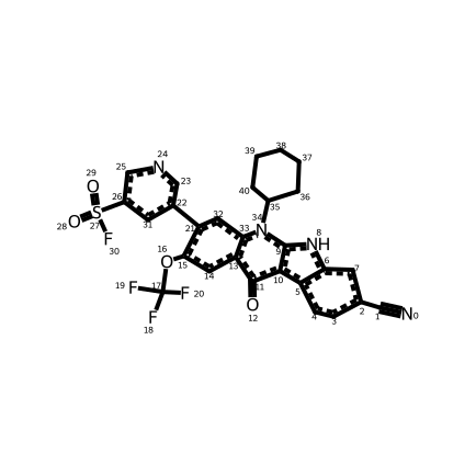 N#Cc1ccc2c(c1)[nH]c1c2c(=O)c2cc(OC(F)(F)F)c(-c3cncc(S(=O)(=O)F)c3)cc2n1C1CCCCC1